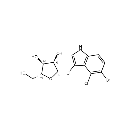 OC[C@H]1O[C@@H](Oc2c[nH]c3ccc(Br)c(Cl)c23)[C@H](O)[C@@H]1O